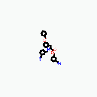 N#Cc1cccc(COC(=O)c2cc3cc(OCc4ccccc4)ccc3n2Cc2cccc(C#N)c2)c1